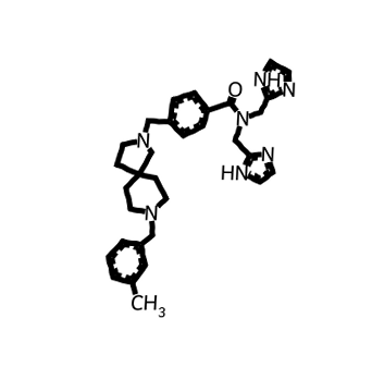 Cc1cccc(CN2CCC3(CC2)CCN(Cc2ccc(C(=O)N(Cc4ncc[nH]4)Cc4ncc[nH]4)cc2)C3)c1